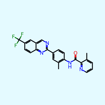 Cc1cc(-c2ncc3cc(C(F)(F)F)ccc3n2)ccc1NC(=O)c1ncccc1C